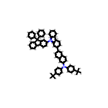 CC(C)(C)c1ccc(N(c2ccc(C(C)(C)C)cc2)c2ccc3cc(-c4ccc5c6ccccc6n(-c6ccc7c(c6)C(c6ccccc6)(c6ccccc6)c6ccccc6-7)c5c4)ccc3c2)cc1